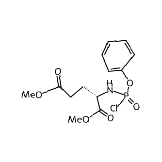 COC(=O)CC[C@H](NP(=O)(Cl)Oc1ccccc1)C(=O)OC